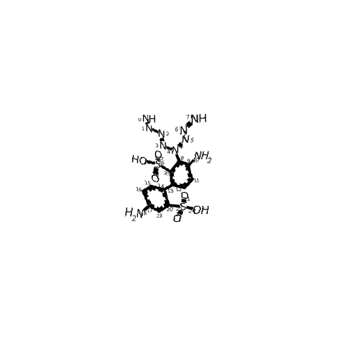 N=NN=N[N+](=NN=N)c1c(N)ccc(-c2ccc(N)cc2S(=O)(=O)O)c1S(=O)(=O)O